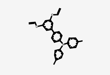 C=COc1cc(OC=C)cc(-c2ccc(N(c3ccc(C)cc3)c3ccc(C)cc3)cc2)c1